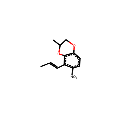 [CH2]C1COc2ccc([N+](=O)[O-])c(C=CC)c2O1